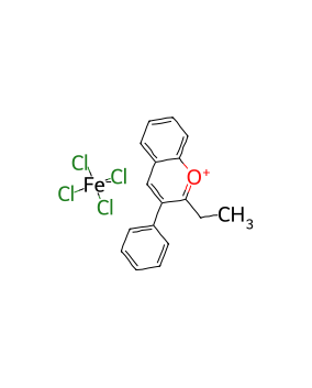 CCc1[o+]c2ccccc2cc1-c1ccccc1.[Cl][Fe-]([Cl])([Cl])[Cl]